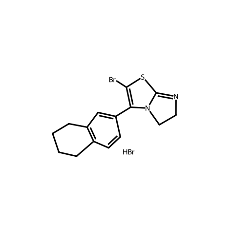 Br.BrC1=C(c2ccc3c(c2)CCCC3)N2CCN=C2S1